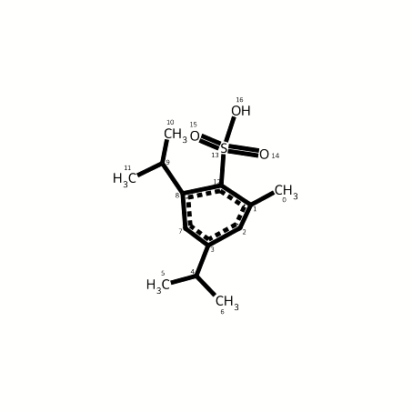 Cc1cc(C(C)C)cc(C(C)C)c1S(=O)(=O)O